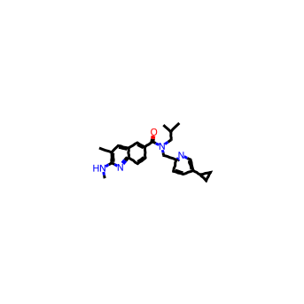 CNc1nc2ccc(C(=O)N(Cc3ccc(C4CC4)cn3)CC(C)C)cc2cc1C